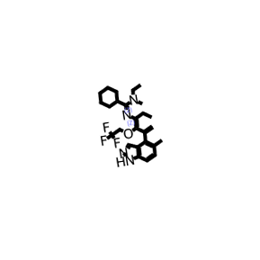 C=C(/C(OCC(F)(F)F)=C(CC)/N=C(/C1CCCCC1)N(C)CC)c1c(C)ccc2[nH]ncc12